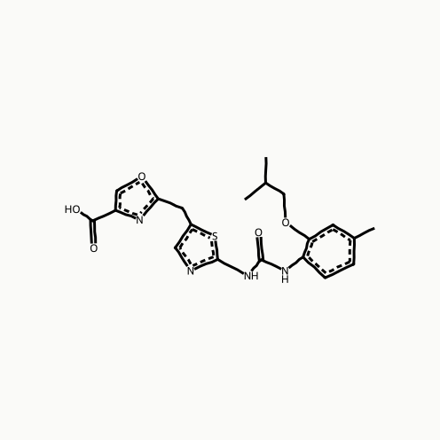 Cc1ccc(NC(=O)Nc2ncc(Cc3nc(C(=O)O)co3)s2)c(OCC(C)C)c1